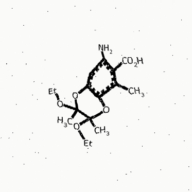 CCOC1(C)Oc2cc(N)c(C(=O)O)c(C)c2OC1(C)OCC